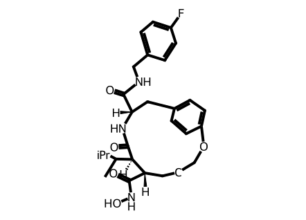 CC(C)C(C)[C@H]1C(=O)N[C@H](C(=O)NCc2ccc(F)cc2)Cc2ccc(cc2)OCCC[C@@H]1C(=O)NO